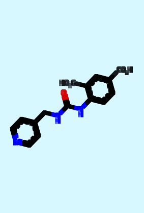 O=C(NCc1ccncc1)Nc1ccc(C(=O)O)cc1C(=O)O